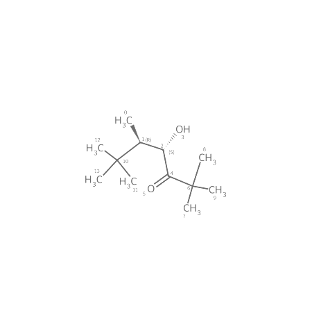 C[C@@H]([C@H](O)C(=O)C(C)(C)C)C(C)(C)C